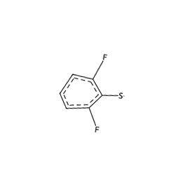 Fc1cccc(F)c1[S]